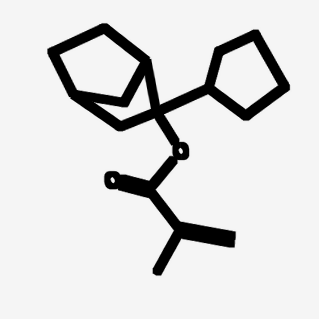 C=C(C)C(=O)OC1(C2CCCC2)CC2CCC1C2